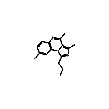 CCCc1nc(C)c2c(C)nc3ccc(F)cc3n12